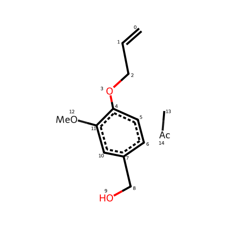 C=CCOc1ccc(CO)cc1OC.CC(C)=O